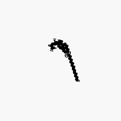 CCCCCCCCCCCCCCCC(=O)O[C@H]1CC[C@@]2(C)C(CC=C3C2CC[C@@]2(C)C3CC[C@@H]2[C@H](C)C=C[C@H](C)C(C)C)C1